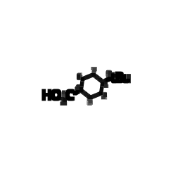 CC(C)(C)[C@H]1CC[C@@H](C(=O)O)CC1